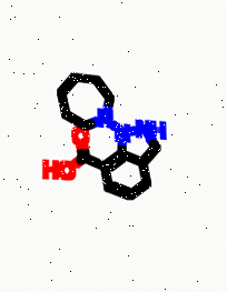 O=C(O)C1=C2C(CC=C1)CNN2N1CCCCCC1